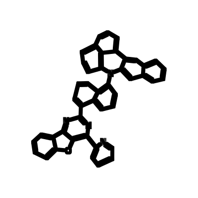 c1ccc(-c2nc(-c3cccc4c(N5c6cc7ccccc7cc6-c6cccc7cccc5c67)cccc34)nc3c2oc2ccccc23)nc1